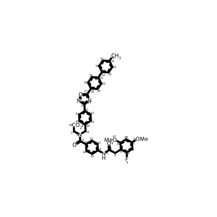 COc1cc(F)c(CC(=O)Nc2ccc(C(=O)N(CC(=O)O)Cc3ccc(-c4noc(-c5ccc(-c6ccc(C)cc6)cc5)n4)cc3)cc2)c(OC)c1